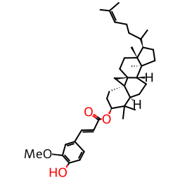 COc1cc(/C=C/C(=O)O[C@H]2CC[C@]34C[C@]35CC[C@]3(C)[C@@H](C(C)CCC=C(C)C)CC[C@@]3(C)[C@@H]5CC[C@H]4C2(C)C)ccc1O